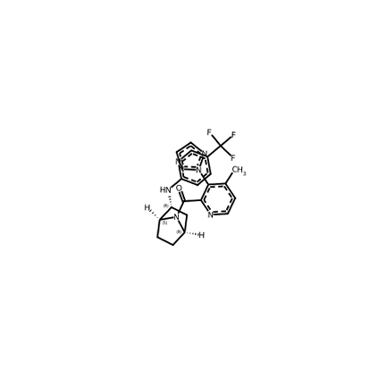 Cc1ccnc(C(=O)N2[C@@H]3CC[C@H]2[C@H](Nc2ccc(C(F)(F)F)cn2)C3)c1-n1nccn1